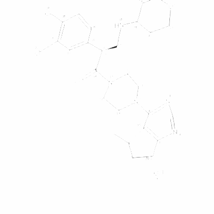 CC1C[C@@H](O)c2ncnc(N3CCN(C(=O)[C@H](CNC4CCOCC4)c4ccc(Cl)c(Cl)c4)CC3)c21